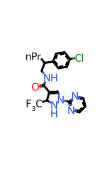 CCCC(CNC(=O)C1=CN(c2ncccn2)NC1C(F)(F)F)c1ccc(Cl)cc1